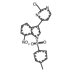 Cc1ccc(S(=O)(=O)n2cc(-c3ccnc(Cl)n3)c3cccc([N+](=O)[O-])c32)cc1